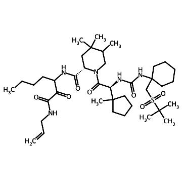 C=CCNC(=O)C(=O)C(CCCC)NC(=O)[C@@H]1CC(C)(C)C(C)CN1C(=O)[C@@H](NC(=O)NC1(CS(=O)(=O)C(C)(C)C)CCCCC1)C1(C)CCCC1